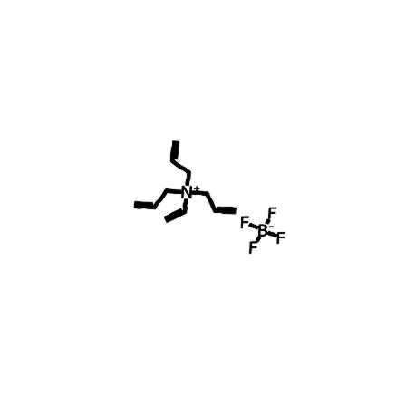 C=CC[N+](C=C)(CC=C)CC=C.F[B-](F)(F)F